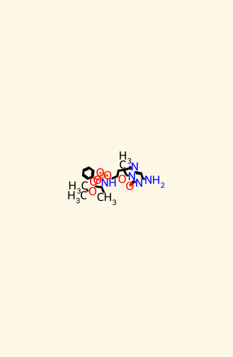 CCC(NP(=O)(OCC1CC(C)(C#N)C(n2ccc(N)nc2=O)O1)Oc1ccccc1)C(=O)OC(C)C